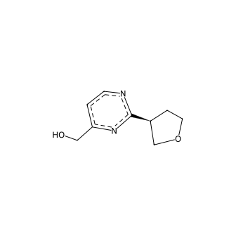 OCc1ccnc([C@H]2CCOC2)n1